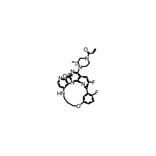 C=CC(=O)N1CCN(c2nc(=O)n3c4nc(c(F)cc24)-c2cc(ccc2F)OCCCNc2ccnc(C(C)C)c2-3)[C@@H](C)C1